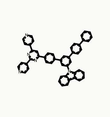 c1ccc(-c2ccc(-c3cc(-c4ccc(-c5cc(-c6ccncc6)nc(-c6ccncc6)n5)cc4)cc(-n4c5ccccc5c5ccccc54)c3)cc2)cc1